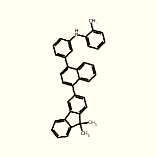 Cc1ccccc1Nc1cccc(-c2ccc(-c3ccc4c(c3)-c3ccccc3C4(C)C)c3ccccc23)c1